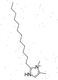 CCCCCCCCCCCCc1[nH]cc(C)[n+]1C